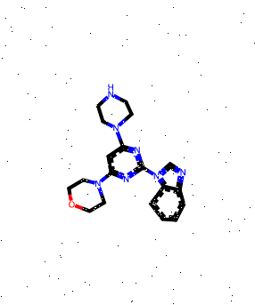 c1ccc2c(c1)ncn2-c1nc(N2CCNCC2)cc(N2CCOCC2)n1